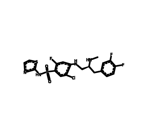 CN[C@H](CNc1cc(F)c(S(=O)(=O)Nc2nccs2)cc1Cl)Cc1ccc(F)c(F)c1